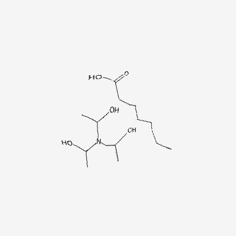 CC(O)N(C(C)O)C(C)O.CCCCCCC(=O)O